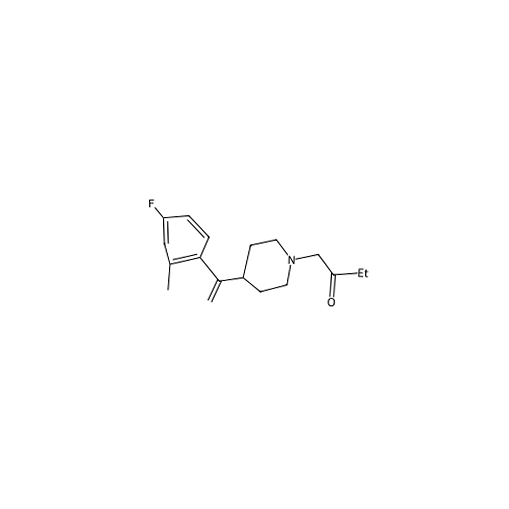 C=C(c1ccc(F)cc1C)C1CCN(CC(=O)CC)CC1